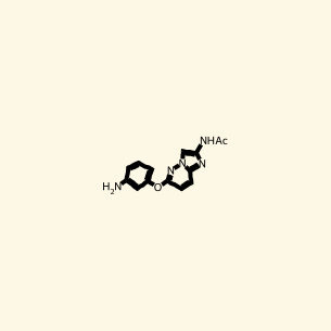 CC(=O)Nc1cn2nc(Oc3cccc(N)c3)ccc2n1